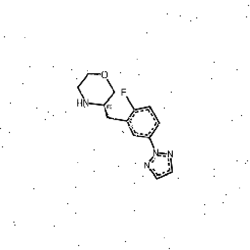 Fc1ccc(-n2nccn2)cc1C[C@@H]1COCCN1